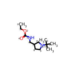 CCOC(=O)NCC1CCN(C(C)(C)C)C1